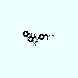 CCCNCc1ccc(NC(=O)C2=C(O)CCn3c2nc2ccccc23)cc1